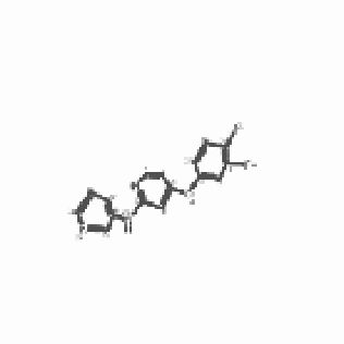 Fc1cc(Oc2ccnc(Nc3cccnc3)c2)ccc1I